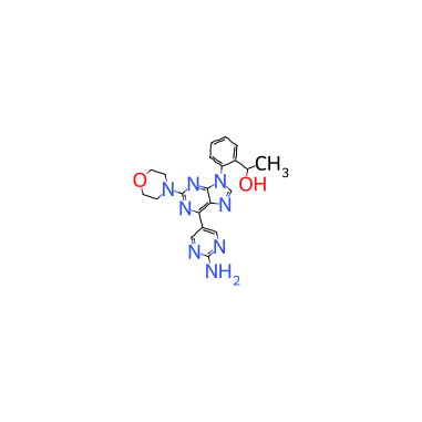 CC(O)c1ccccc1-n1cnc2c(-c3cnc(N)nc3)nc(N3CCOCC3)nc21